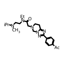 CCN(CCN(C)C(C)C)C(=O)CN1CCc2nc(-c3ccc(C(C)=O)cc3)nn2C1